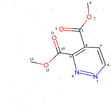 COC(=O)c1ccnnc1C(=O)OC